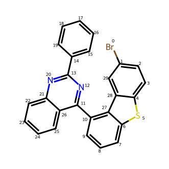 Brc1ccc2sc3cccc(-c4nc(-c5ccccc5)nc5ccccc45)c3c2c1